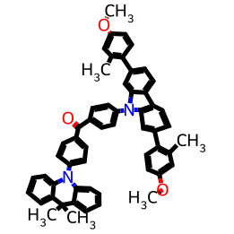 COc1ccc(-c2ccc3c4ccc(-c5ccc(OC)cc5C)cc4n(-c4ccc(C(=O)c5ccc(N6c7ccccc7C(C)(C)c7ccccc76)cc5)cc4)c3c2)c(C)c1